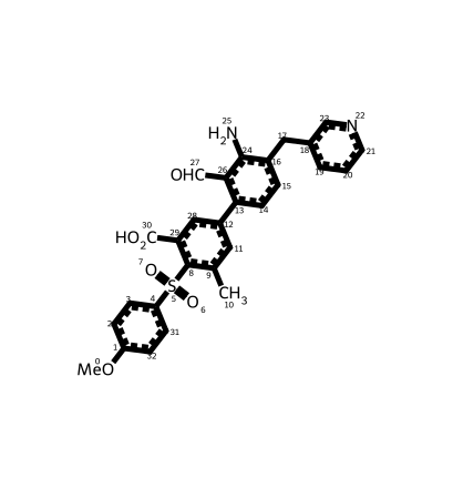 COc1ccc(S(=O)(=O)c2c(C)cc(-c3ccc(Cc4cccnc4)c(N)c3C=O)cc2C(=O)O)cc1